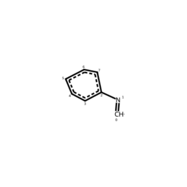 [CH]=Nc1cc[c]cc1